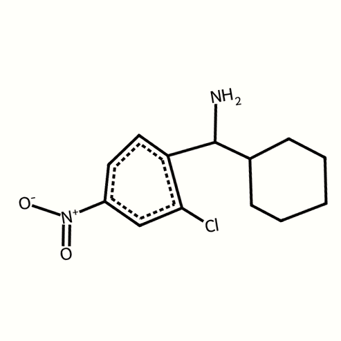 NC(c1ccc([N+](=O)[O-])cc1Cl)C1CCCCC1